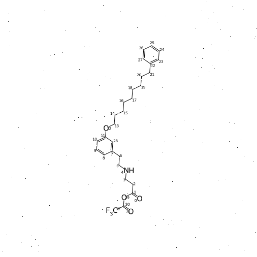 O=C(CCNCCc1cccc(OCCCCCCCCCc2ccccc2)c1)OC(=O)C(F)(F)F